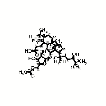 C=C(C)C(O)CCC(C)(O)C1CCC2(C)C1C(OC1OC(COC(C)=O)C(O)C1O)CC1C(C)(CCC(=O)O)C(C(=C)C)CCC12C